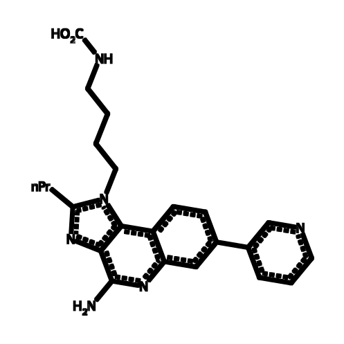 CCCc1nc2c(N)nc3cc(-c4cccnc4)ccc3c2n1CCCCNC(=O)O